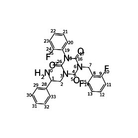 NC(Cn1c(=O)n(Cc2c(F)cccc2F)c(=O)n(-c2ccccc2F)c1=O)c1ccccc1